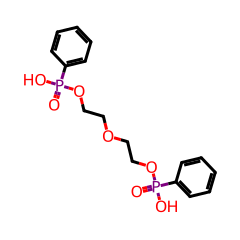 O=P(O)(OCCOCCOP(=O)(O)c1ccccc1)c1ccccc1